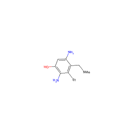 CCc1c(N)c(O)cc(N)c1CNC